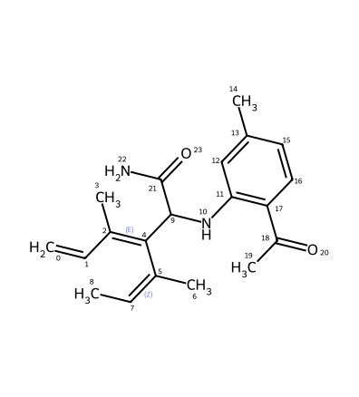 C=C/C(C)=C(\C(C)=C/C)C(Nc1cc(C)ccc1C(C)=O)C(N)=O